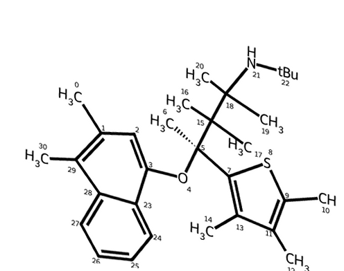 Cc1cc(O[C@](C)(c2sc(C)c(C)c2C)C(C)(C)C(C)(C)NC(C)(C)C)c2ccccc2c1C